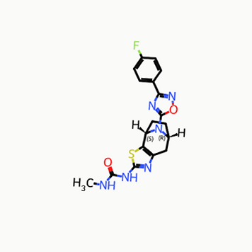 CNC(=O)Nc1nc2c(s1)[C@@H]1CC[C@H](C2)N1c1nc(-c2ccc(F)cc2)no1